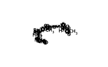 CN1C(=O)CCC(N2C(=O)c3cccc(NCCCOCCCS(=O)(=O)N(C)C(=O)C4CCC(n5cc(NC(=O)c6cnn7ccc(N8CC9CC8CO9)nc67)c(C(F)F)n5)CC4)c3C2=O)C1=O